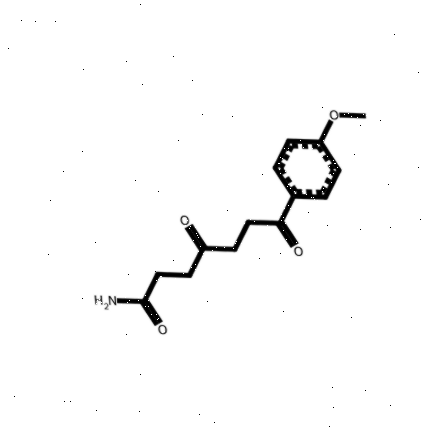 COc1ccc(C(=O)CCC(=O)CCC(N)=O)cc1